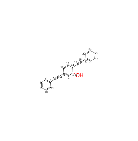 Oc1cc(C#Cc2ccccc2)ccc1C#Cc1ccccc1